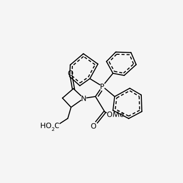 COC(=O)C(N1C(=O)CC1CC(=O)O)=P(c1ccccc1)(c1ccccc1)c1ccccc1